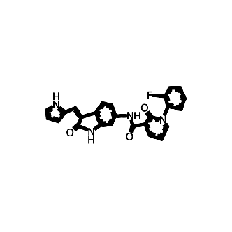 O=C1Nc2cc(NC(=O)c3cccn(-c4ccccc4F)c3=O)ccc2C1=Cc1ccc[nH]1